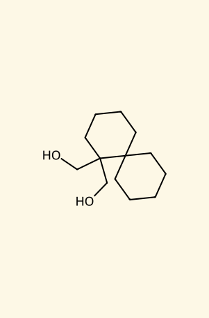 OCC1(CO)CCCCC12CCCCC2